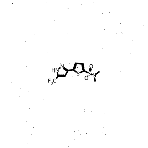 CN(C)S(=O)(=O)c1ccc(-c2cc(C(F)(F)F)[nH]n2)s1